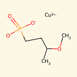 COC(C)CCP(=O)([O-])[O-].[Cu+2]